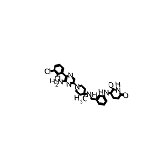 CC1(NCc2cccc(NC3CCC(=O)NC3=O)c2)CCN(c2cnc(-c3cccc(Cl)c3Cl)c(N)n2)CC1